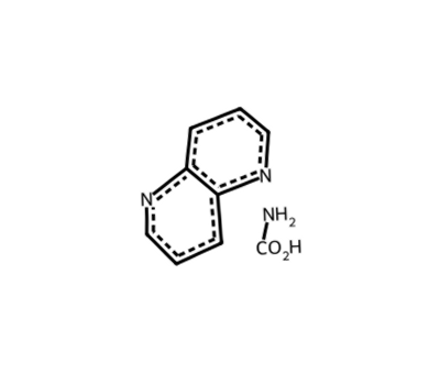 NC(=O)O.c1cnc2cccnc2c1